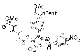 CCCCCC(COC(C)=O)c1ccc(C2C(OC(=O)c3ccc([N+](=O)[O-])cc3)CC(Cl)[C@@H]2C/C=C\CCCC(=O)OC)cc1